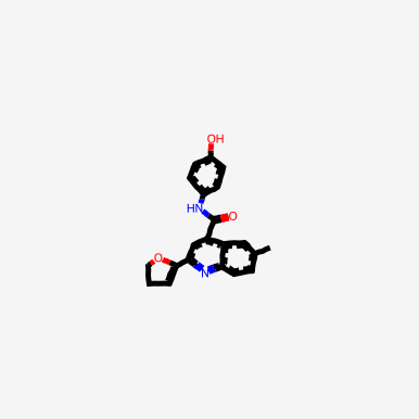 Cc1ccc2nc(C3=CCCO3)cc(C(=O)Nc3ccc(O)cc3)c2c1